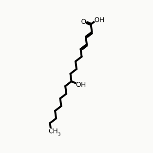 CCCCCCCCC(O)CCCCC=CC=CC(=O)O